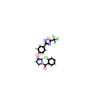 O=C(c1ccccc1F)N1CC[C@@H](Oc2ccc(-c3noc(C(F)(F)F)n3)cc2)C1